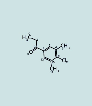 CCC(=O)c1cc(C)c(Cl)c(C)c1